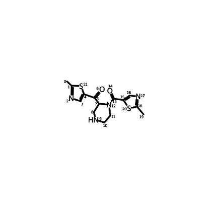 Cc1ncc(C(=O)C2CNCCN2C(=O)c2cnc(C)s2)s1